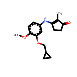 COc1ccc(NC2=C(C)C(=O)CC2)cc1OCC1CC1